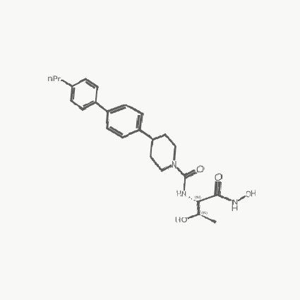 CCCc1ccc(-c2ccc(C3CCN(C(=O)N[C@H](C(=O)NO)[C@@H](C)O)CC3)cc2)cc1